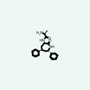 C[C@H](N)C(=O)N[C@H]1C[C@H](c2ccccc2)C[C@@H](c2ccccc2)NC1=O